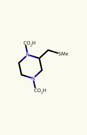 CSCC1CN(C(=O)O)CCN1C(=O)O